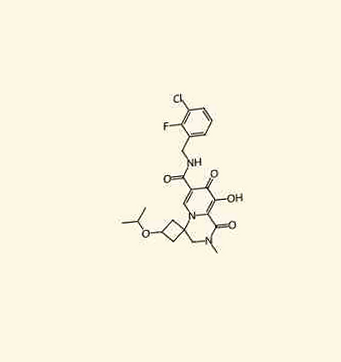 CC(C)OC1CC2(C1)CN(C)C(=O)c1c(O)c(=O)c(C(=O)NCc3cccc(Cl)c3F)cn12